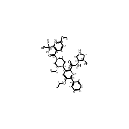 CCOc1cc(N2CCN(C(=O)c3ccc(OC)nc3C(F)(F)F)C[C@H]2CC)c(C(=O)N[C@H]2CNC[C@H]2F)nc1-c1cccnc1